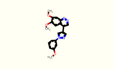 COc1cccc(-n2cc(-c3cnnc4cc(OC)c(OC)cc34)cn2)c1